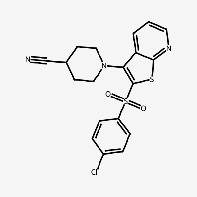 N#CC1CCN(c2c(S(=O)(=O)c3ccc(Cl)cc3)sc3ncccc23)CC1